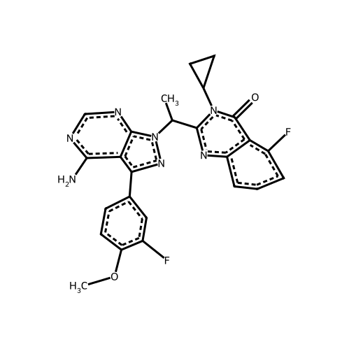 COc1ccc(-c2nn(C(C)c3nc4cccc(F)c4c(=O)n3C3CC3)c3ncnc(N)c23)cc1F